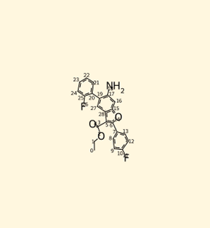 CCOC(=O)c1c(-c2ccc(F)cc2)oc2cc(N)c(-c3ccccc3F)cc12